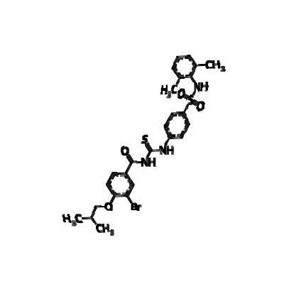 Cc1cccc(C)c1NS(=O)(=O)c1ccc(NC(=S)NC(=O)c2ccc(OCC(C)C)c(Br)c2)cc1